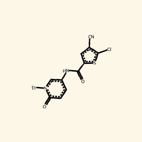 CCn1cc(NC(=O)c2cc(C#N)c(Cl)s2)ccc1=O